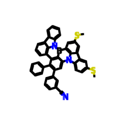 CSc1ccc2c(c1)c1cc(SC)cc3c1n2-c1cc(-c2cccc(C#N)c2)c(-c2ccccc2)c2c1B3n1c3ccccc3c3cccc-2c31